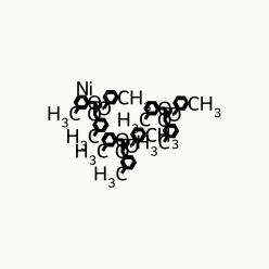 Cc1cccc(OP(Oc2cccc(C)c2)Oc2cccc(C)c2)c1.Cc1cccc(OP(Oc2cccc(C)c2)Oc2cccc(C)c2)c1.Cc1cccc(OP(Oc2cccc(C)c2)Oc2cccc(C)c2)c1.[Ni]